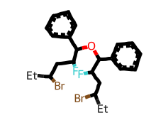 CCC(Br)CC(F)C(OC(c1ccccc1)C(F)CC(Br)CC)c1ccccc1